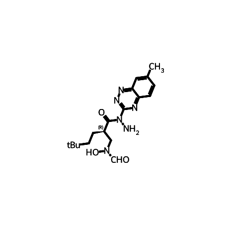 Cc1ccc2nc(N(N)C(=O)[C@H](CCC(C)(C)C)CN(O)C=O)nnc2c1